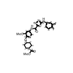 COc1cc(NC(=O)c2nnc(Nc3ccc(F)c(F)c3)o2)cnc1O[C@H]1CC[C@H](C(=O)OC)CC1